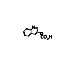 O=C(O)Oc1cnc2ccccc2c1